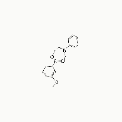 COc1cccc(B2OCCN(c3ccccc3)CO2)n1